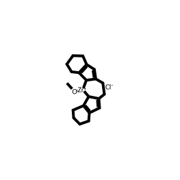 C[O][Zr+]1[CH]2C(=CC3=C2CCCC3)CCC2=CC3=C(CCCC3)[CH]21.[Cl-]